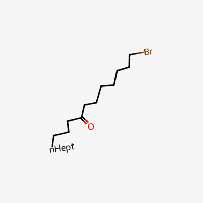 CCCCCCCCCCC(=O)CCCCCCCBr